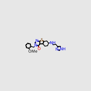 COc1ccccc1Cn1cnc2sc3c(c2c1=O)CCC(NCCc1c[nH]cn1)C3